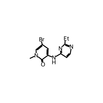 CCc1nccc(Nc2cc(Br)cn(C)c2=O)n1